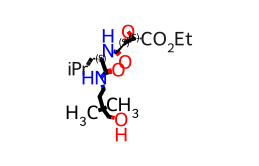 CCOC(=O)[C@H]1O[C@@H]1C(=O)N[C@@H](CC(C)C)C(=O)NCCC(C)(C)CO